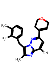 Cc1nc2c(C#N)cc(C3=CCOCC3)nn2c1Cc1cccc(C(F)(F)F)c1C